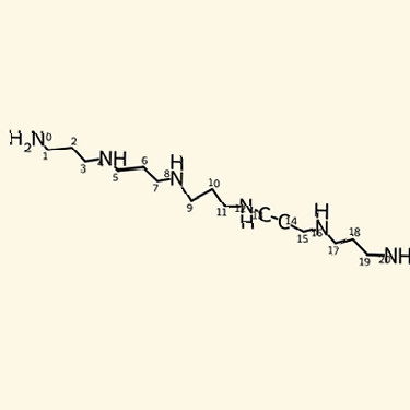 NCCCNCCCNCCCNCCCNCCCN